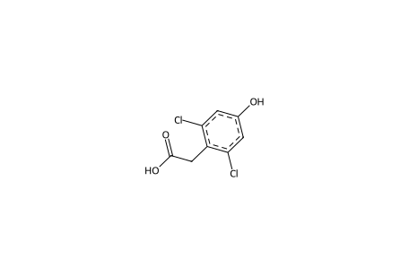 O=C(O)Cc1c(Cl)cc(O)cc1Cl